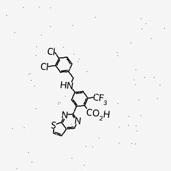 O=C(O)c1c(-c2ncc3ccsc3n2)cc(NCc2ccc(Cl)c(Cl)c2)cc1C(F)(F)F